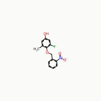 Cc1cc(O)cc(F)c1OCc1ccccc1[N+](=O)[O-]